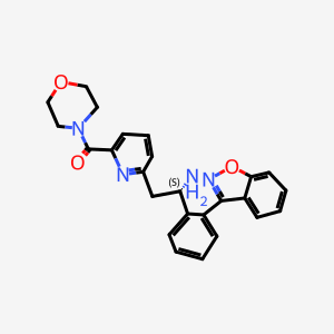 N[C@@H](Cc1cccc(C(=O)N2CCOCC2)n1)c1ccccc1-c1noc2ccccc12